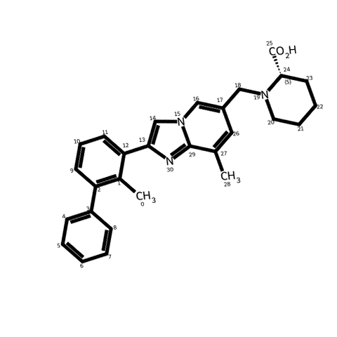 Cc1c(-c2ccccc2)cccc1-c1cn2cc(CN3CCCC[C@H]3C(=O)O)cc(C)c2n1